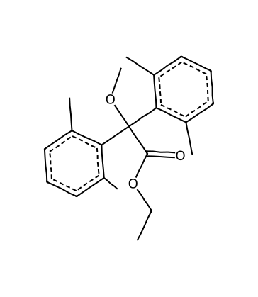 CCOC(=O)C(OC)(c1c(C)cccc1C)c1c(C)cccc1C